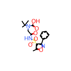 Cc1onc(-c2ccccc2)c1S(=O)(=O)NC(=O)CN(C(=O)O)C(C)(C)C